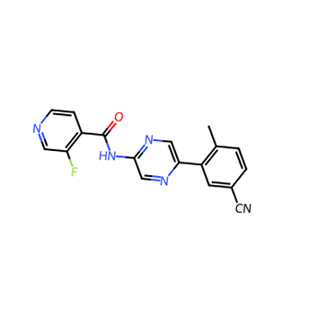 Cc1ccc(C#N)cc1-c1cnc(NC(=O)c2ccncc2F)cn1